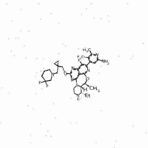 CC[C@@H]1NCCN2c3nc(OCC4(CN5CCCC(F)(F)C5)CC4)nc4c(F)c(-c5cc(N)nc(C)c5C(F)(F)F)nc(c34)O[C@@H](C)[C@H]12